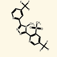 Cn1c(-c2cc(C(F)(F)F)ccn2)nnc1-c1ncc(C(F)(F)F)cc1S(C)(=O)=O